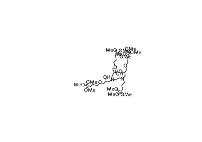 CO[Si](CCCOCC(O)CN(CCC[Si](OC)(OC)OC)CCN(CC(O)COCCC[Si](OC)(OC)OC)CC(O)COCCC[Si](OC)(OC)OC)(OC)OC